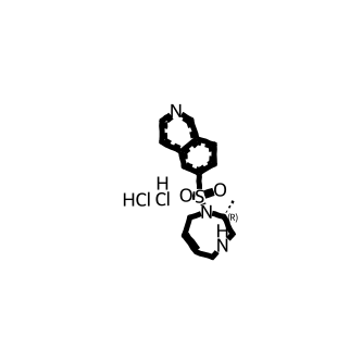 C[C@@H]1CNCC=CCN1S(=O)(=O)c1ccc2cnccc2c1.Cl.Cl